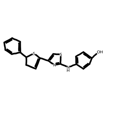 Oc1ccc(Nc2nc(C3=CCC(c4ccccc4)S3)cs2)cc1